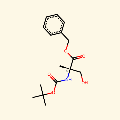 CC(C)(C)OC(=O)N[C@@](C)(CO)C(=O)OCc1ccccc1